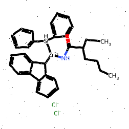 CCCCC(CC)C(=O)[NH][Zr+2]([CH]1c2ccccc2-c2ccccc21)[SiH](c1ccccc1)c1ccccc1.[Cl-].[Cl-]